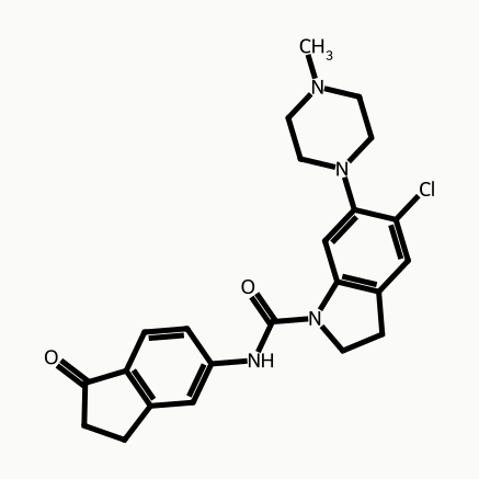 CN1CCN(c2cc3c(cc2Cl)CCN3C(=O)Nc2ccc3c(c2)CCC3=O)CC1